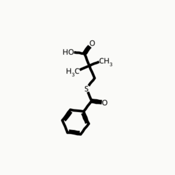 CC(C)(CSC(=O)c1ccccc1)C(=O)O